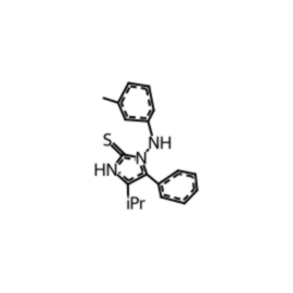 Cc1cccc(Nn2c(-c3ccccc3)c(C(C)C)[nH]c2=S)c1